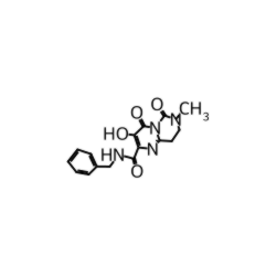 CN1CCc2nc(C(=O)NCc3ccccc3)c(O)c(=O)n2C1=O